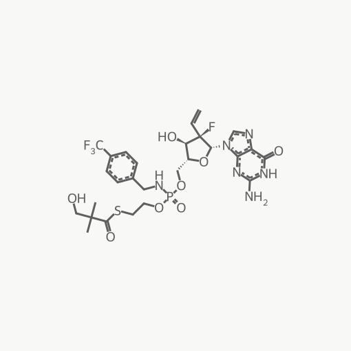 C=C[C@@]1(F)[C@H](O)[C@@H](COP(=O)(NCc2ccc(C(F)(F)F)cc2)OCCSC(=O)C(C)(C)CO)O[C@H]1n1cnc2c(=O)[nH]c(N)nc21